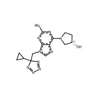 CC(C)(C)c1nc(N2CC[C@H](O)C2)c2ncn(CC3(C4CC4)N=NN=N3)c2n1